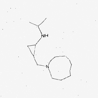 CC(C)NC1CC1CN1CCCCCC1